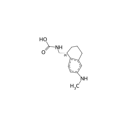 CNc1ccc2c(c1)CCC[C@H]2CNC(=O)O